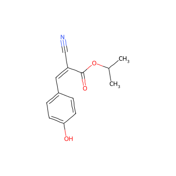 CC(C)OC(=O)C(C#N)=Cc1ccc(O)cc1